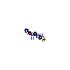 FC(F)Oc1ccc2nc(-c3cccc(Nc4ccc(-c5cccnn5)cc4)c3)[nH]c2c1